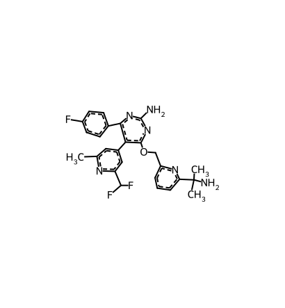 Cc1cc(-c2c(OCc3cccc(C(C)(C)N)n3)nc(N)nc2-c2ccc(F)cc2)cc(C(F)F)n1